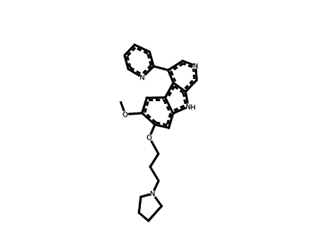 COc1cc2c(cc1OCCCN1CCCC1)[nH]c1cncc(-c3ccccn3)c12